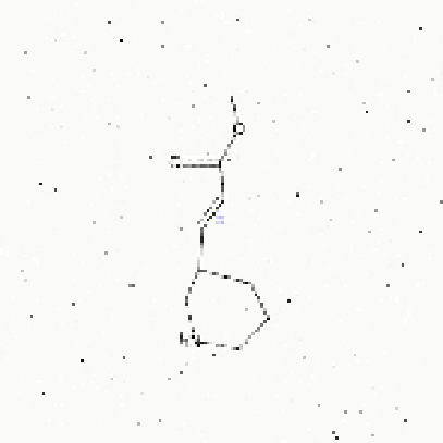 COC(=O)/C=C/C1CCCNC1